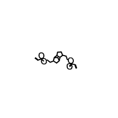 C=CC(=O)OCCC1CC2CC1C1CCC(CCOC(=O)C=C)C21